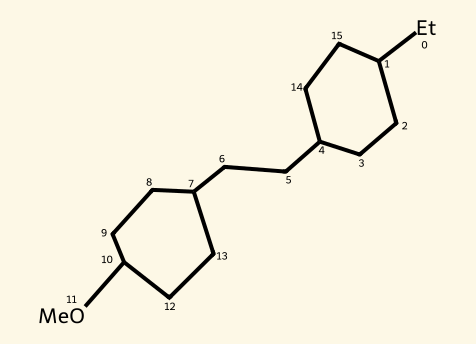 CCC1CCC(CCC2CCC(OC)CC2)CC1